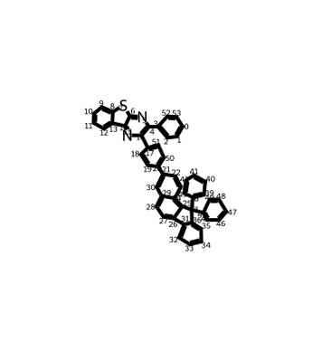 c1ccc(-c2nc3sc4ccccc4c3nc2-c2ccc(-c3ccc4c5c(ccc4c3)-c3ccccc3C5(c3ccccc3)c3ccccc3)cc2)cc1